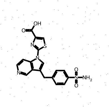 NS(=O)(=O)c1ccc(Cc2cn(-c3nc(C(=O)O)cs3)c3ccncc23)cc1